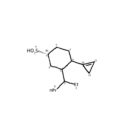 CCCC(CC)C1C[C@H](S(=O)(=O)O)CCC1C1=CC1